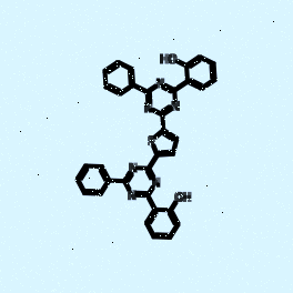 Oc1ccccc1-c1nc(-c2ccccc2)nc(-c2ccc(-c3nc(-c4ccccc4)nc(-c4ccccc4O)n3)s2)n1